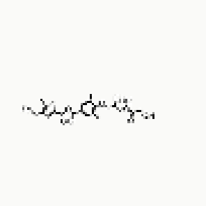 Cc1cc(C2OOC(c3cc(CC(C)C)c(C)s3)O2)cc(C)c1OCC(O)CNC(=O)CO